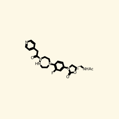 CC(=O)NC[C@H]1CN(c2ccc(N3CCNN(C(=O)Cc4ccncc4)CC3)c(F)c2)C(=O)O1